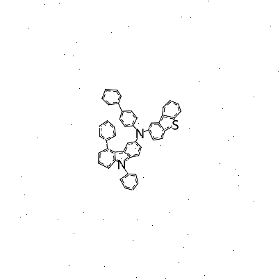 c1ccc(-c2ccc(N(c3ccc4sc5ccccc5c4c3)c3ccc4c(c3)c3c(-c5ccccc5)cccc3n4-c3ccccc3)cc2)cc1